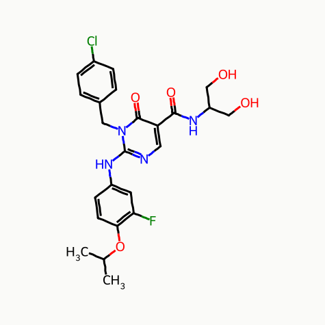 CC(C)Oc1ccc(Nc2ncc(C(=O)NC(CO)CO)c(=O)n2Cc2ccc(Cl)cc2)cc1F